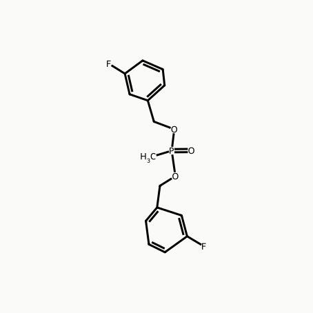 CP(=O)(OCc1cccc(F)c1)OCc1cccc(F)c1